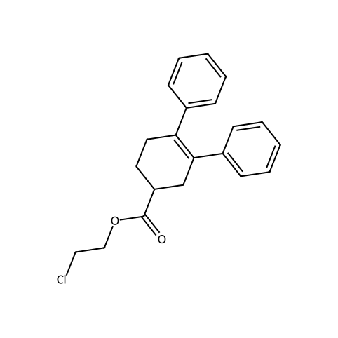 O=C(OCCCl)C1CCC(c2ccccc2)=C(c2ccccc2)C1